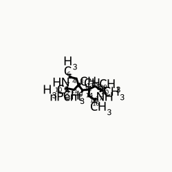 CCCCCC(C1(C)CC(C)NC(C)(C)C1)C1(C)CC(C)NC(C)(C)C1